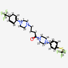 O=C(CCCN1CCN(C2=CCC(C(F)(F)F)C=C2)CC1)N1CCN(c2ccc(SC(F)(F)F)cc2)CC1